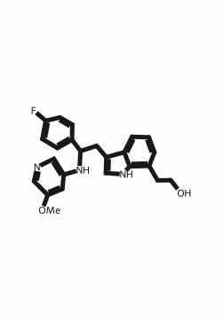 COc1cncc(NC([CH]c2c[nH]c3c(CCO)cccc23)c2ccc(F)cc2)c1